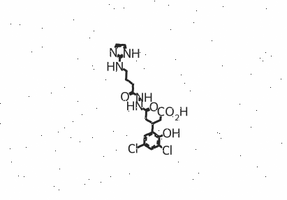 O=C(O)CC(CC(=O)NNC(=O)CCCNc1ncc[nH]1)c1cc(Cl)cc(Cl)c1O